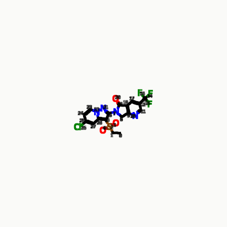 CCS(=O)(=O)c1c(N2Cc3ncc(C(F)(F)F)cc3C2=O)nn2ccc(Cl)cc12